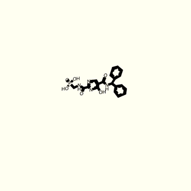 O=C(NCP(=O)(O)O)c1ncc(C(=O)NC(c2ccccc2)c2ccccc2)c(O)n1